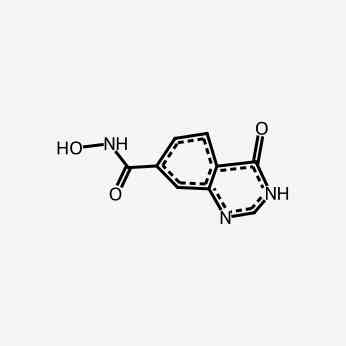 O=C(NO)c1ccc2c(=O)[nH]cnc2c1